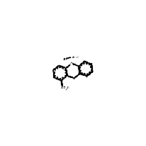 CCCC[CH2][K].O=C(O)c1cccc2c1Cc1ccccc1O2